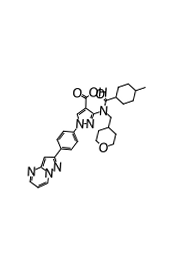 CC1CCC(C(=O)N(CC2CCOCC2)c2nn(-c3ccc(-c4cc5ncccn5n4)cc3)cc2C(=O)O)CC1